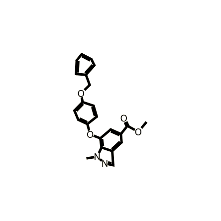 COC(=O)c1cc(Oc2ccc(OCc3ccccc3)cc2)c2c(cnn2C)c1